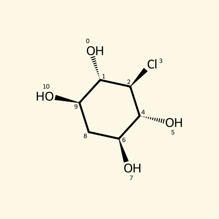 O[C@@H]1[C@@H](Cl)[C@H](O)[C@@H](O)C[C@H]1O